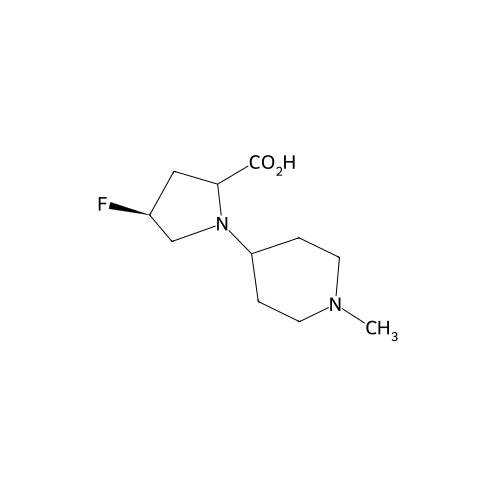 CN1CCC(N2C[C@@H](F)CC2C(=O)O)CC1